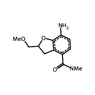 CNC(=O)c1ccc(N)c2c1CC(COC)O2